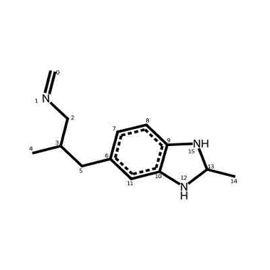 C=NCC(C)Cc1ccc2c(c1)NC(C)N2